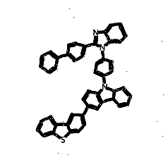 C1=CC2c3cc(-c4ccc5sc6ccccc6c5c4)ccc3N(c3ccc(-n4c(-c5ccc(-c6ccccc6)cc5)nc5ccccc54)cc3)C2C=C1